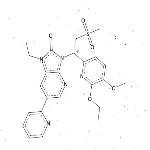 CCOc1nc([C@@H](CS(C)(=O)=O)n2c(=O)n(CC)c3cc(-c4ccccn4)cnc32)ccc1OC